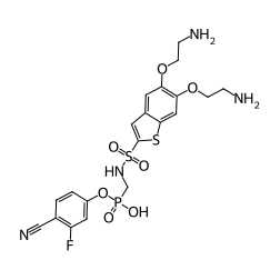 N#Cc1ccc(OP(=O)(O)CNS(=O)(=O)c2cc3cc(OCCN)c(OCCN)cc3s2)cc1F